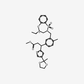 CC[C@@H]1CN(Cc2cc(C(CC(=O)OC)c3cc(C4(C)OCCO4)cs3)ccc2C)S(=O)(=O)c2ccccc2O1